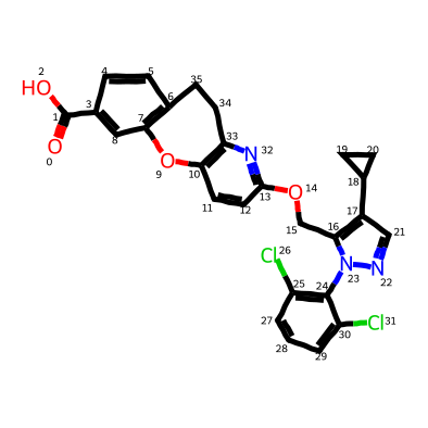 O=C(O)c1ccc2c(c1)Oc1ccc(OCc3c(C4CC4)cnn3-c3c(Cl)cccc3Cl)nc1CC2